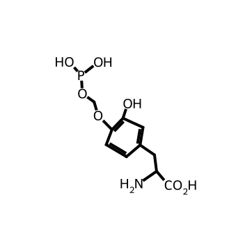 NC(Cc1ccc(OCOP(O)O)c(O)c1)C(=O)O